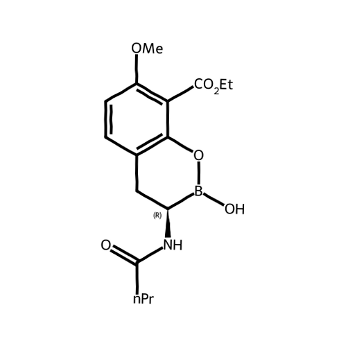 CCCC(=O)N[C@H]1Cc2ccc(OC)c(C(=O)OCC)c2OB1O